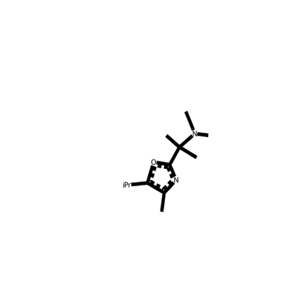 Cc1nc(C(C)(C)N(C)C)oc1C(C)C